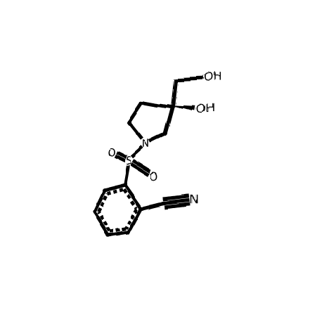 N#Cc1ccccc1S(=O)(=O)N1CC[C@](O)(CO)C1